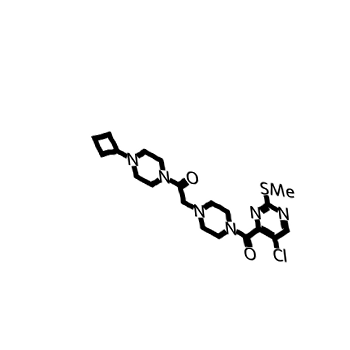 CSc1ncc(Cl)c(C(=O)N2CCN(CC(=O)N3CCN(C4CCC4)CC3)CC2)n1